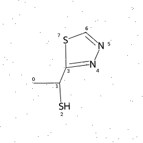 CC(S)c1nncs1